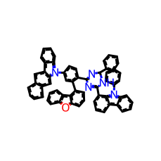 c1ccc(C2N=C(c3ccc(-n4c5ccccc5c5cc6ccccc6cc54)cc3-c3cccc4oc5ccccc5c34)N=C(c3cccc4c5ccccc5n(-c5ccccc5)c34)N2)cc1